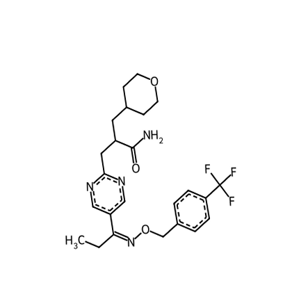 CCC(=NOCc1ccc(C(F)(F)F)cc1)c1cnc(CC(CC2CCOCC2)C(N)=O)nc1